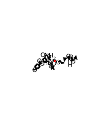 COc1ccc(C(=O)O[C@@H]2C[C@@H](C(N)=O)N(C(=O)[C@H](CCCOC/C=C\[C@@H]3C[C@@H]3C(=O)NS(=O)(=O)C3CC3)NC(=O)OC(C)(C)C)C2)cc1